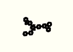 c1ccc(-c2cccc(-c3nc(-c4ccc(-c5ccc6c(c5)-c5ccccc5C65CCCCC5)cc4)nc(-c4ccc5c(c4)oc4ccccc45)n3)c2)cc1